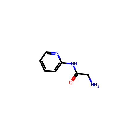 NCC(=O)Nc1ccccn1